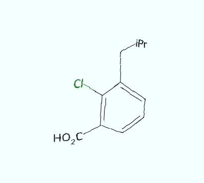 CC(C)Cc1cccc(C(=O)O)c1Cl